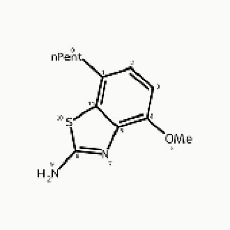 CCCCCc1ccc(OC)c2nc(N)sc12